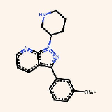 COc1cccc(-c2nn([C@@H]3CCCNC3)c3ncccc23)c1